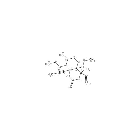 C=CC1(C)CC(=O)OC2(C#CC)C(OCC)C(C)CCC12OCC